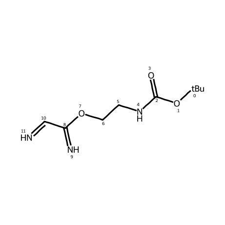 CC(C)(C)OC(=O)NCCOC(=N)C=N